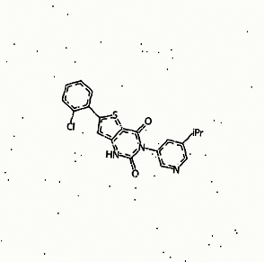 CC(C)c1cncc(-n2c(=O)[nH]c3cc(-c4ccccc4Cl)sc3c2=O)c1